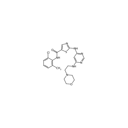 Cc1cccc(Cl)c1NC(=O)c1cnc(Nc2cc(NCCN3CCOCC3)ncn2)s1